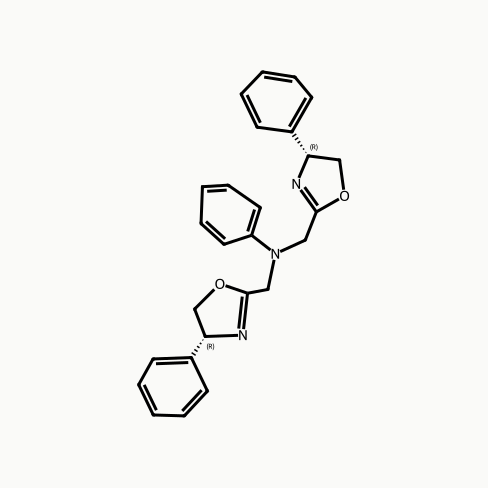 c1ccc([C@@H]2COC(CN(CC3=N[C@H](c4ccccc4)CO3)c3ccccc3)=N2)cc1